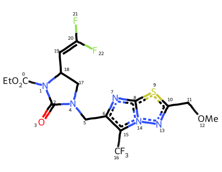 CCOC(=O)N1C(=O)N(Cc2nc3sc(COC)nn3c2C(F)(F)F)CC1C=C(F)F